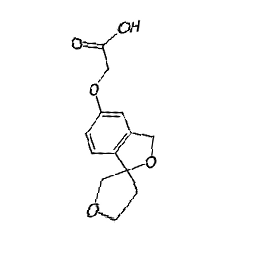 O=C(O)COc1ccc2c(c1)COC21CCOC1